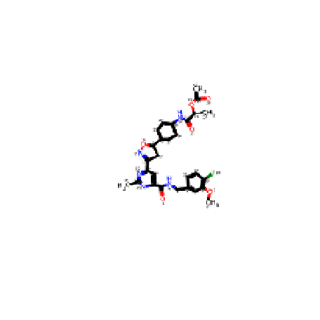 COc1cc(CNC(=O)c2cc(C3=NOC(C4CCC(NC(=O)[C@H](C)OC(C)=O)CC4)C3)nc(C)n2)ccc1F